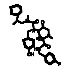 CC(CN(C)C(=O)[C@H](Cc1ccc(O)cc1)N1C(=O)CN(C)N(C(=O)NCc2ccc(F)cc2)[C@H]1C)c1ccccc1